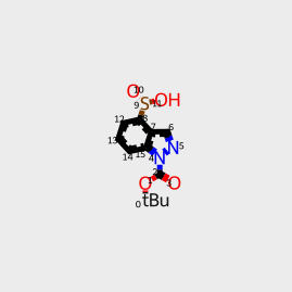 CC(C)(C)OC(=O)n1ncc2c(S(=O)O)cccc21